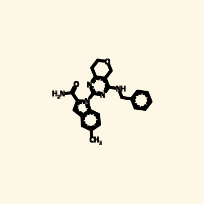 Cc1ccc2c(c1)cc(C(N)=O)n2-c1nc2c(c(NCc3ccccc3)n1)COCC2